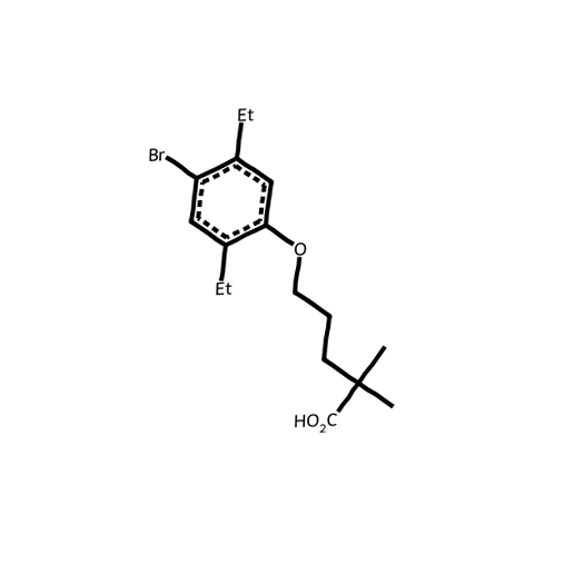 CCc1cc(OCCCC(C)(C)C(=O)O)c(CC)cc1Br